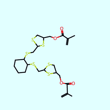 C=C(C)C(=O)OCC1CSC(CSC2CCCCC2SCC2SCC(COC(=O)C(=C)C)S2)S1